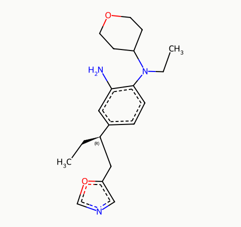 CC[C@H](Cc1cnco1)c1ccc(N(CC)C2CCOCC2)c(N)c1